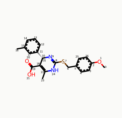 COc1ccc(CSC2=N[C@@H](c3cccc(C)c3)C(C(=O)O)=C(C)N2)cc1